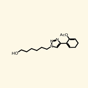 CC(=O)OC1=CCCC=C1c1cn(CCCCCCO)nn1